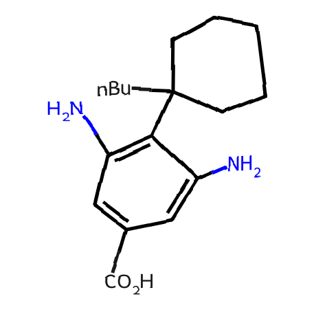 CCCCC1(c2c(N)cc(C(=O)O)cc2N)CCCCC1